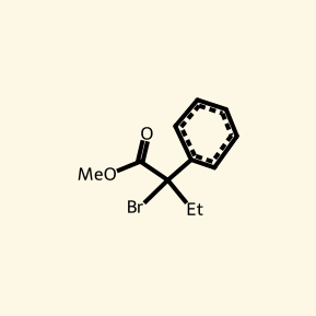 CCC(Br)(C(=O)OC)c1ccccc1